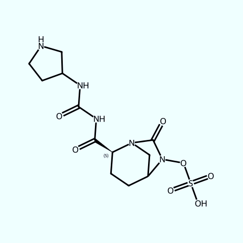 O=C(NC(=O)[C@@H]1CCC2CN1C(=O)N2OS(=O)(=O)O)NC1CCNC1